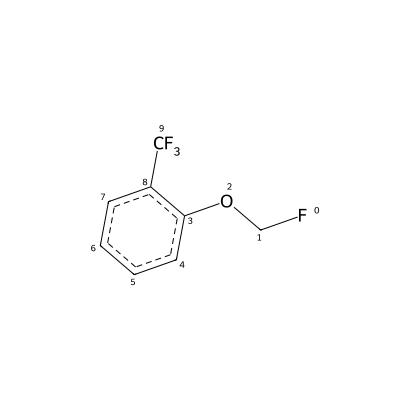 FCOc1ccccc1C(F)(F)F